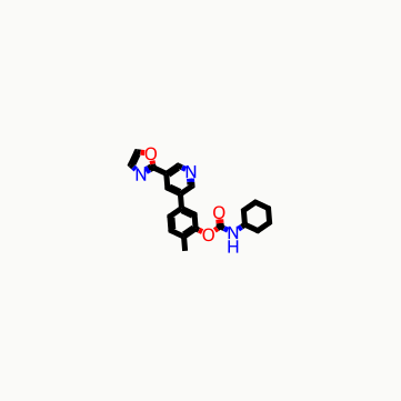 Cc1ccc(-c2cncc(-c3ncco3)c2)cc1OC(=O)NC1CCCCC1